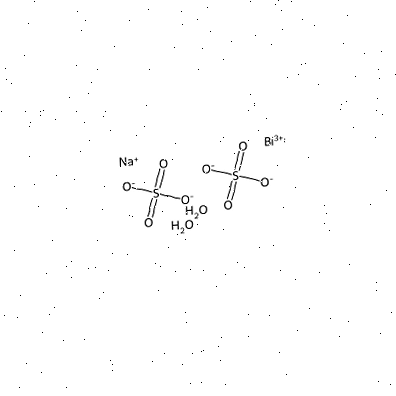 O.O.O=S(=O)([O-])[O-].O=S(=O)([O-])[O-].[Bi+3].[Na+]